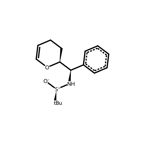 CC(C)(C)[S@@+]([O-])N[C@H](c1ccccc1)[C@@H]1CCC=CO1